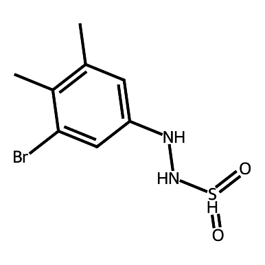 Cc1cc(NN[SH](=O)=O)cc(Br)c1C